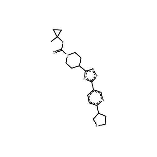 CC1(OC(=O)N2CCC(c3noc(-c4ccc(C5CCOC5)nc4)n3)CC2)CC1